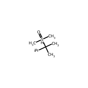 CC(C)C(C)(C)[SH](C)(C)=O